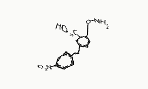 NOc1ccc(Cc2ccc([N+](=O)[O-])cc2)cc1C(=O)O